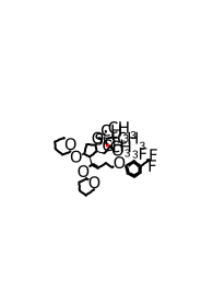 CC(C)(C)[Si](C)(C)OC1C[C@H](OC2CCCCO2)[C@H](/C(=C\CCOc2cccc(C(F)(F)F)c2)OC2CCCCO2)[C@@H]1CC=O